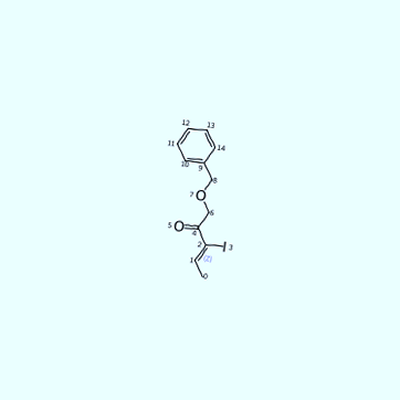 C/C=C(\I)C(=O)COCc1ccccc1